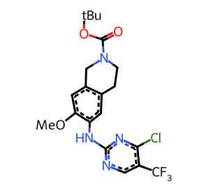 COc1cc2c(cc1Nc1ncc(C(F)(F)F)c(Cl)n1)CCN(C(=O)OC(C)(C)C)C2